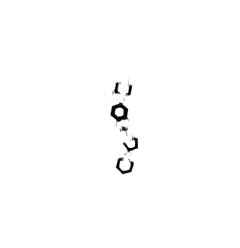 O=C1COCCN1c1ccc2nc(N3CC[C@@H](N4CCCCC4)C3)sc2c1